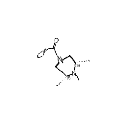 C[C@@H]1CN(C(=O)Cl)C[C@H](C)N1C